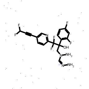 N/N=C\N(N)CC(O)(c1ccc(F)cc1F)C(F)(F)c1ccc(C#CC(F)F)cn1